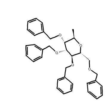 C[C@H]1O[C@H](COCc2ccccc2)[C@@H](OCc2ccccc2)[C@H](OCc2ccccc2)[C@@H]1OCc1ccccc1